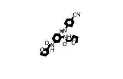 N#Cc1ccc(/N=N/c2ccc(NC(=O)c3ccco3)cc2NC(=O)c2ccco2)cc1